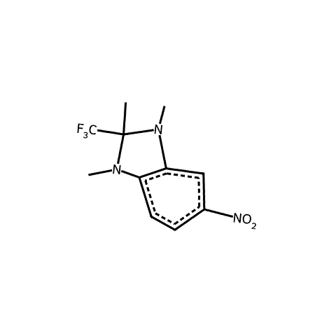 CN1c2ccc([N+](=O)[O-])cc2N(C)C1(C)C(F)(F)F